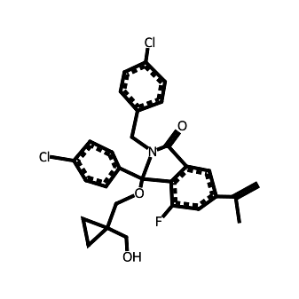 C=C(C)c1cc(F)c2c(c1)C(=O)N(Cc1ccc(Cl)cc1)C2(OCC1(CO)CC1)c1ccc(Cl)cc1